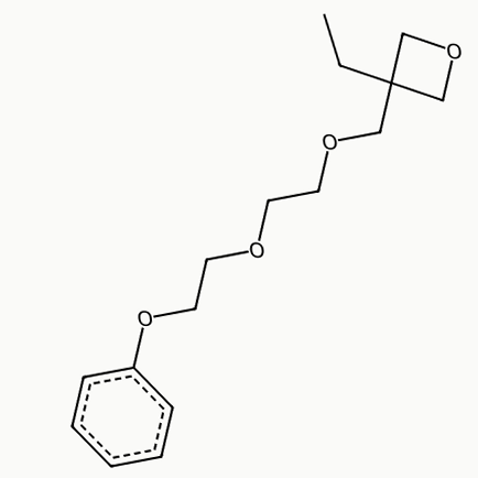 CCC1(COCCOCCOc2ccccc2)COC1